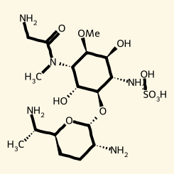 CO[C@H]1[C@@H](O)[C@H](N)[C@@H](O[C@H]2O[C@H]([C@H](C)N)CC[C@H]2N)[C@H](O)[C@@H]1N(C)C(=O)CN.O=S(=O)(O)O